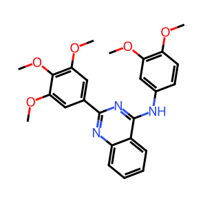 COc1ccc(Nc2nc(-c3cc(OC)c(OC)c(OC)c3)nc3ccccc23)cc1OC